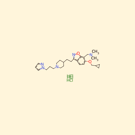 CN(C)Cc1c(OCC2CC2)ccc2c(CCC3CCN(CCCn4cccn4)CC3)noc12.Cl.Cl.Cl